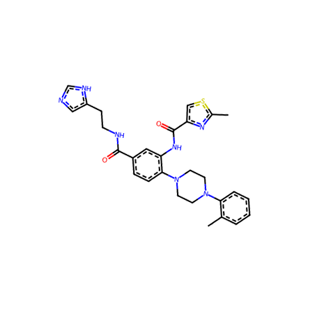 Cc1nc(C(=O)Nc2cc(C(=O)NCCc3cnc[nH]3)ccc2N2CCN(c3ccccc3C)CC2)cs1